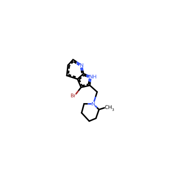 CC1CCCCN1Cc1[nH]c2ncccc2c1Br